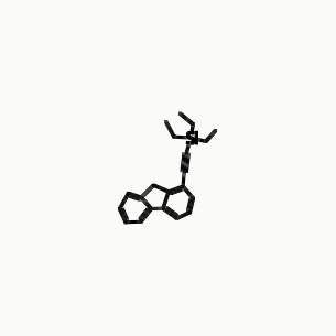 CC[Si](C#Cc1cccc2c1Cc1ccccc1-2)(CC)CC